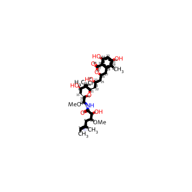 C/C=C(\C)CC(OC)C(O)C(=O)N[C@H](OC)[C@@H]1C[C@@H](O)C(C)(C)[C@@H](CC(O)CC2Cc3c(C)c(O)cc(O)c3C(=O)O2)O1